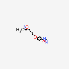 Cc1cc(CCCCCOc2ccc(-c3ncno3)cc2)on1